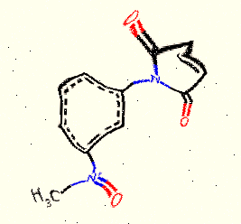 C[N+](=O)c1cccc(N2C(=O)C=CC2=O)c1